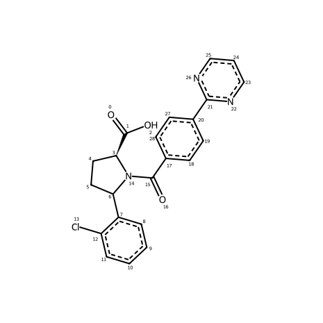 O=C(O)[C@@H]1CCC(c2ccccc2Cl)N1C(=O)c1ccc(-c2ncccn2)cc1